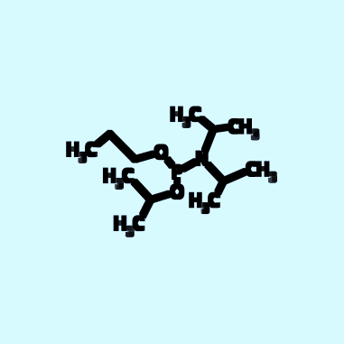 CCCOP(OC(C)C)N(C(C)C)C(C)C